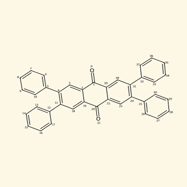 O=C1c2cc(-c3ccccc3)c(-c3ccccc3)cc2C(=O)c2cc(-c3ccccc3)c(-c3ccccc3)cc21